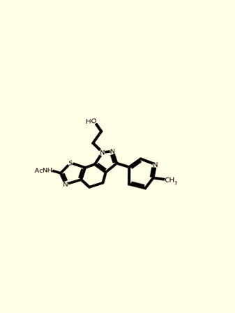 CC(=O)Nc1nc2c(s1)-c1c(c(-c3ccc(C)nc3)nn1CCO)CC2